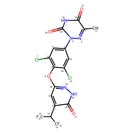 N#Cc1nn(-c2cc(Cl)c(Oc3cc(C(C(F)(F)F)C(F)(F)F)c(=O)[nH]n3)c(Cl)c2)c(=O)[nH]c1=O